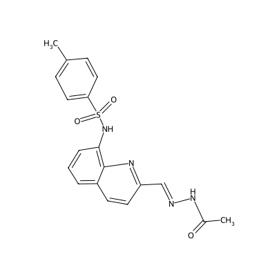 CC(=O)N/N=C/c1ccc2cccc(NS(=O)(=O)c3ccc(C)cc3)c2n1